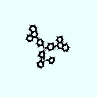 c1ccc(-n2c3ccccc3c3ccc(N(c4ccc(-c5cc6ccccc6c6ccccc56)cc4)c4ccc(-c5cc6ccccc6c6ccccc56)cc4)cc32)cc1